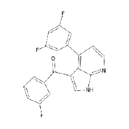 O=C(c1cccc(F)c1)c1c[nH]c2nccc(-c3cc(F)cc(F)c3)c12